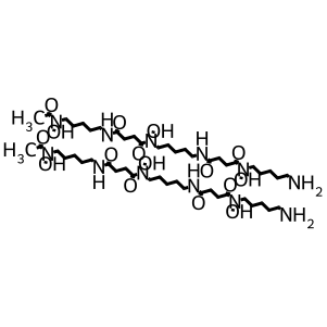 CC(=O)N(O)CCCCCNC(=O)CCC(=O)N(O)CCCCCNC(=O)CCC(=O)N(O)CCCCCN.CC(=O)N(O)CCCCCNC(=O)CCC(=O)N(O)CCCCCNC(=O)CCC(=O)N(O)CCCCCN